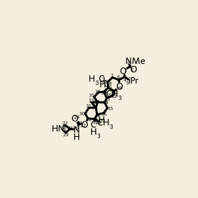 CNC(=O)OC(C(C)C)C1C[C@@H](C)[C@H]2C(CC3C4CC[C@H]5C(C)(C)C(OC(=O)NC6CNC6)CCC56CC46CCC32C)O1